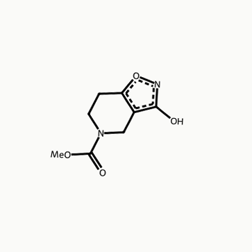 COC(=O)N1CCc2onc(O)c2C1